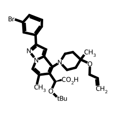 C=CCOC1(C)CCN(c2c([C@H](OC(C)(C)C)C(=O)O)c(C)cn3nc(-c4cccc(Br)c4)cc23)CC1